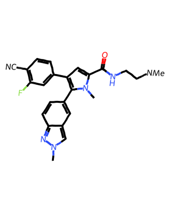 CNCCNC(=O)c1cc(-c2ccc(C#N)c(F)c2)c(-c2ccc3nn(C)cc3c2)n1C